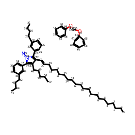 CCCCCCCCCCCCCCCCCCCCC=CC1=C(c2cccc(CCCC)c2)[N+](=[N-])C(c2cccc(CCCC)c2)=C1CCCCC.c1ccc([O][Ni][O]c2ccccc2)cc1